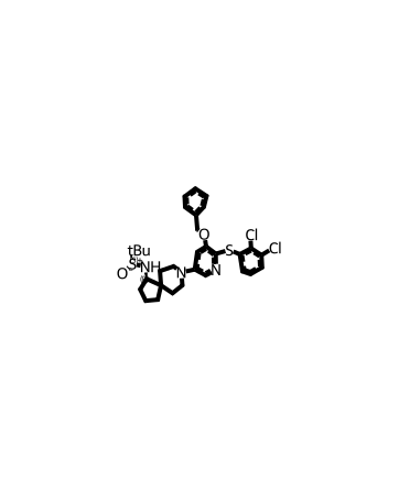 CC(C)(C)[S@@+]([O-])N[C@@H]1CCCC12CCN(c1cnc(Sc3cccc(Cl)c3Cl)c(OCc3ccccc3)c1)CC2